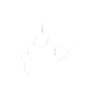 CCOC(=O)c1c(N)nc(-c2cccc(C#N)c2)nc1OC1CC(C#N)C1